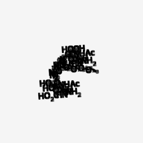 C#CCOCCOCCOCCOCCC(=O)N(Cc1cn(CCO[C@@H]([C@@H]2OC(C(=O)O)=C[C@H](NC(=N)N)[C@H]2NC(C)=O)[C@H](O)CO)nn1)Cc1cn(CCO[C@@H]([C@@H]2OC(C(=O)O)=C[C@H](NC(=N)N)[C@H]2NC(C)=O)[C@H](O)CO)nn1